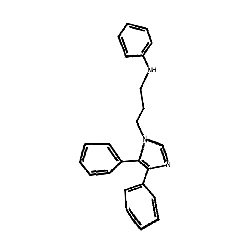 c1ccc(NCCCn2cnc(-c3ccccc3)c2-c2ccccc2)cc1